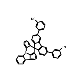 N#Cc1cccc(-c2ccc3c(c2)-c2cc(-c4cccc(C#N)c4)ccc2C32c3ccccc3-n3c4ccccc4c4cccc2c43)c1